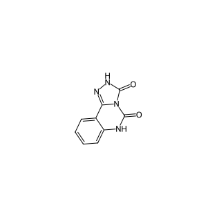 O=c1[nH]nc2c3ccccc3[nH]c(=O)n12